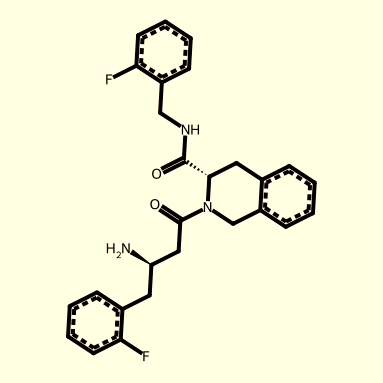 N[C@@H](CC(=O)N1Cc2ccccc2C[C@H]1C(=O)NCc1ccccc1F)Cc1ccccc1F